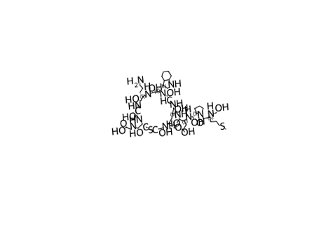 CSCCC[C@H](NCO)C(=O)N1CCC[C@H]1C(O)N[C@@H](CC(=O)O)C(O)N[C@H]1CCNC(O)CSCC(C(O)NCC(=O)O)NC(O)CNC(O)[C@H](CCCN)NC(O)[C@H](C[C@H]2CNC3CCCCC32)NC(O)CNC1O